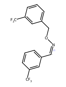 FC(F)(F)c1cccc(/[C]=N\OCc2cccc(C(F)(F)F)c2)c1